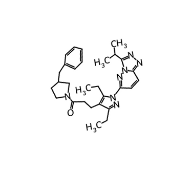 CCc1nn(-c2ccc3nnc(C(C)C)n3n2)c(CC)c1CCC(=O)N1CCC(Cc2ccccc2)C1